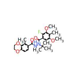 COc1cc(C(=O)N(NC(=O)c2ccc3c(c2C)OCCO3)C(C)(C)C)c(F)c(OC)c1C